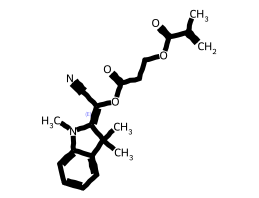 C=C(C)C(=O)OCCC(=O)O/C(C#N)=C1/N(C)c2ccccc2C1(C)C